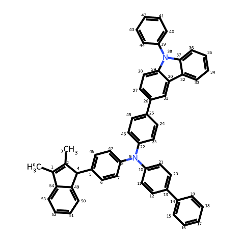 CC1=C(C)C(c2ccc(N(c3ccc(-c4ccccc4)cc3)c3ccc(-c4ccc5c(c4)c4ccccc4n5-c4ccccc4)cc3)cc2)c2ccccc21